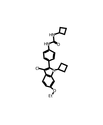 CCOc1ccc2c(Cl)c(-c3ccc(NC(=O)NC4CCC4)cc3)n(C3CCC3)c2c1